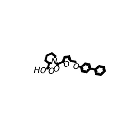 O=C(O)C1CCCCN1C(=O)c1ccc(COc2ccc(-c3ccccc3)cc2)o1